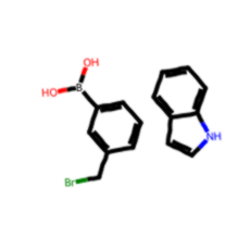 OB(O)c1cccc(CBr)c1.c1ccc2[nH]ccc2c1